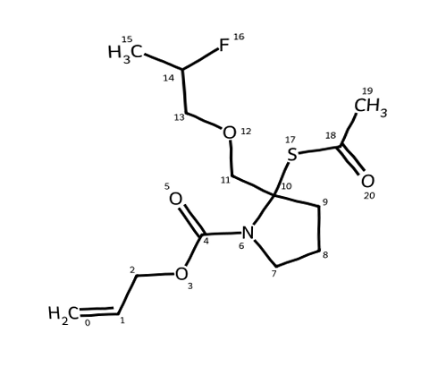 C=CCOC(=O)N1CCCC1(COCC(C)F)SC(C)=O